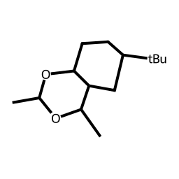 CC1OC(C)C2CC(C(C)(C)C)CCC2O1